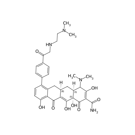 CN(C)CCNCC(=O)c1ccc(-c2ccc(O)c3c2C[C@H]2C[C@H]4C(N(C)C)C(O)=C(C(N)=O)C(=O)[C@@]4(O)C(O)=C2C3=O)cc1